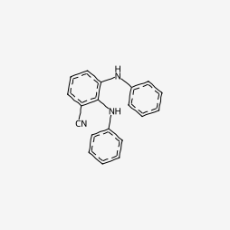 N#Cc1cccc(Nc2ccccc2)c1Nc1ccccc1